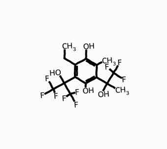 CCc1c(O)c(C)c(C(C)(O)C(F)(F)F)c(O)c1C(O)(C(F)(F)F)C(F)(F)F